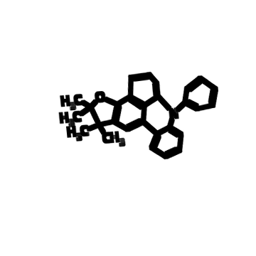 CC1(C)Oc2ccc(-c3ccccc3N(c3ccccc3)c3ccccc3)cc2C1(C)C